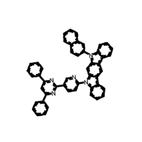 c1ccc(-c2cc(-c3ccccc3)nc(-c3ccc(-n4c5ccccc5c5cc6c7ccccc7n(-c7ccc8ccccc8c7)c6cc54)nc3)n2)cc1